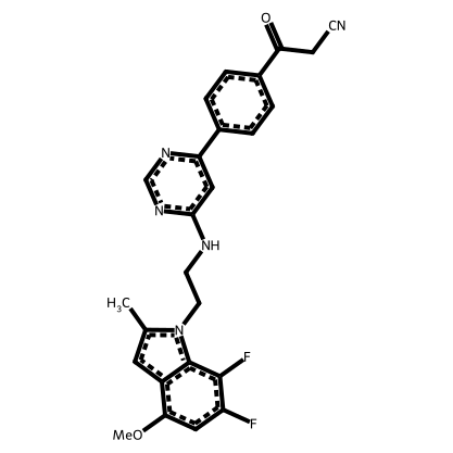 COc1cc(F)c(F)c2c1cc(C)n2CCNc1cc(-c2ccc(C(=O)CC#N)cc2)ncn1